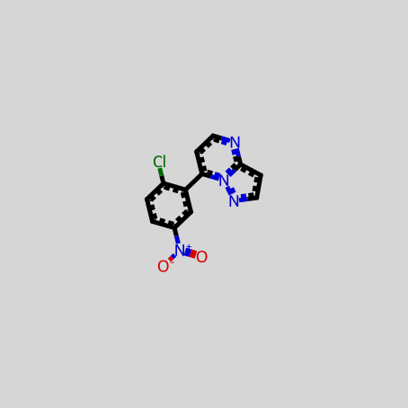 O=[N+]([O-])c1ccc(Cl)c(-c2ccnc3ccnn23)c1